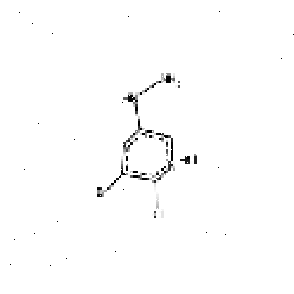 Cl.NNc1cnc(Cl)c(Br)c1